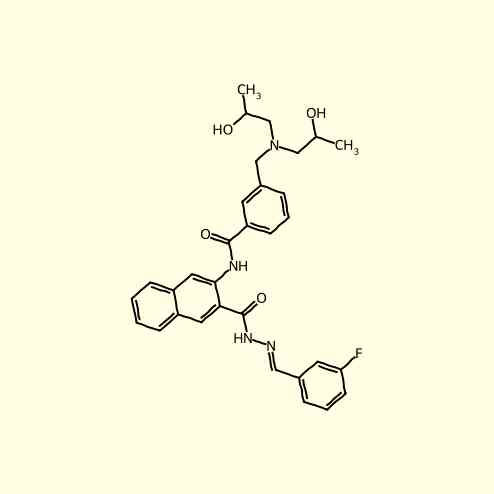 CC(O)CN(Cc1cccc(C(=O)Nc2cc3ccccc3cc2C(=O)NN=Cc2cccc(F)c2)c1)CC(C)O